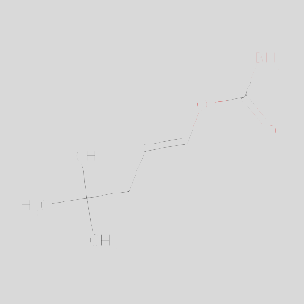 BC(=O)O/C=C/CC(C)(C)C